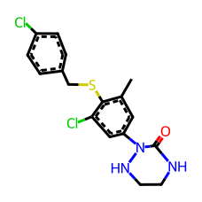 Cc1cc(N2NCCNC2=O)cc(Cl)c1SCc1ccc(Cl)cc1